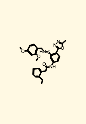 CCc1ccccc1CC(=O)Nc1ccc(-c2nnc(C)o2)c(SNCc2ccc(OC)cc2OC)c1